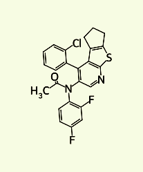 CC(=O)N(c1ccc(F)cc1F)c1cnc2sc3c(c2c1-c1ccccc1Cl)CCC3